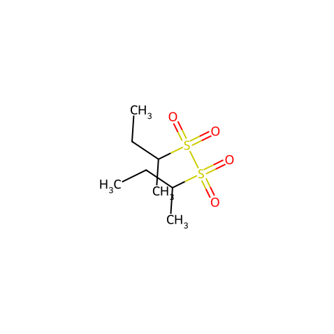 CCC(C)S(=O)(=O)S(=O)(=O)C(C)CC